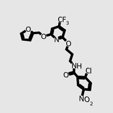 O=C(NCCCOc1cc(C(F)(F)F)cc(OCc2ccco2)n1)c1cc([N+](=O)[O-])ccc1Cl